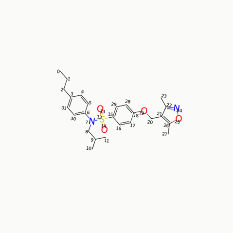 CCCc1ccc(N(CC(C)C)S(=O)(=O)c2ccc(OCc3c(C)noc3C)cc2)cc1